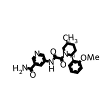 COc1ccccc1[C@@H]1CC[C@@H](C)CN1C(=O)C(=O)Nc1cncc(C(N)=O)c1